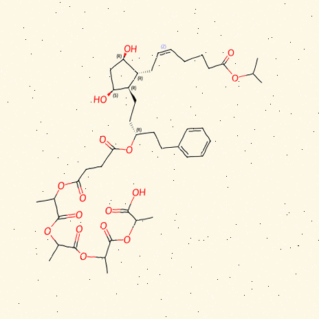 CC(C)OC(=O)CCC/C=C\C[C@@H]1[C@@H](CC[C@H](CCc2ccccc2)OC(=O)CCC(=O)OC(C)C(=O)OC(C)C(=O)OC(C)C(=O)OC(C)C(=O)O)[C@@H](O)C[C@H]1O